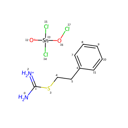 NC(=[NH2+])SCCc1ccccc1.[O-][Sn]([Cl])([Cl])[O]Cl